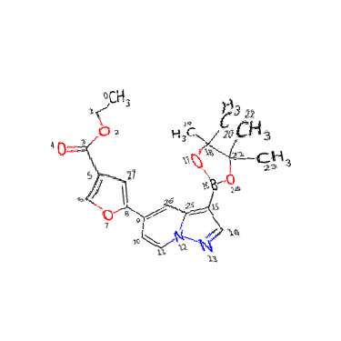 CCOC(=O)c1coc(-c2ccn3ncc(B4OC(C)(C)C(C)(C)O4)c3c2)c1